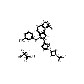 CCC(=O)N1CC(n2ccc(-c3cc4c(ccc5nnc(C)n54)n3Cc3cccc(Cl)c3)n2)C1.O=C(O)C(F)(F)F